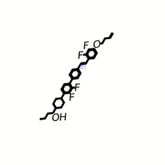 C=CCCOc1ccc(/C=C/c2ccc(-c3ccc(C4CCC(C(O)CCC)CC4)c(F)c3F)cc2)c(F)c1F